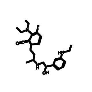 CCNc1cccc(C(O)CNC(C)CCC2C=CC(F)=C(N(CC)CC)C2=C=O)c1